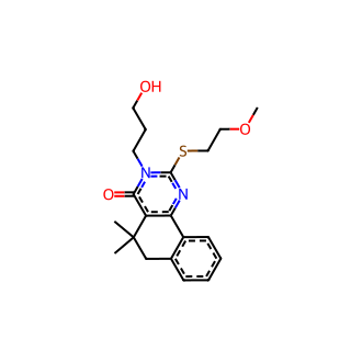 COCCSc1nc2c(c(=O)n1CCCO)C(C)(C)Cc1ccccc1-2